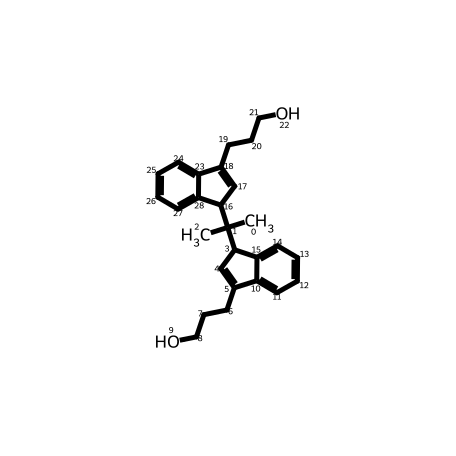 CC(C)(C1C=C(CCCO)c2ccccc21)C1C=C(CCCO)c2ccccc21